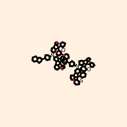 c1ccc2c(c1)Oc1ccccc1C21c2ccccc2-c2ccc(N(c3ccc(-c4cccc5c(-c6cccc7c6Oc6ccccc6C76c7ccccc7-c7ccc(N(c8ccc(-c9ccc%10ccccc%10c9)cc8)c8ccc9c(c8)-c8ccccc8C98c9ccccc9Sc9ccccc98)cc76)cccc45)cc3)c3ccc4c(c3)-c3ccccc3C43c4ccccc4Sc4ccccc43)cc21